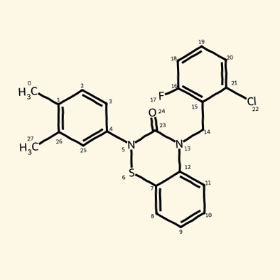 Cc1ccc(N2Sc3ccccc3N(Cc3c(F)cccc3Cl)C2=O)cc1C